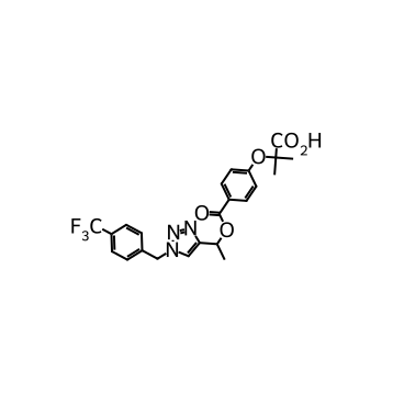 CC(OC(=O)c1ccc(OC(C)(C)C(=O)O)cc1)c1cn(Cc2ccc(C(F)(F)F)cc2)nn1